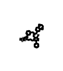 CCCCn1c(-c2ccccc2)nc(F)c1CN(Cc1cccc(OCC)c1)Cc1ccc2c(c1)OCCO2